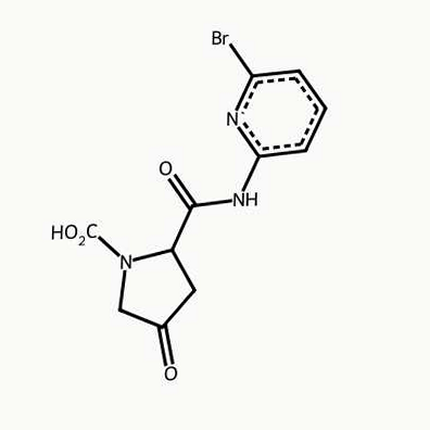 O=C1CC(C(=O)Nc2cccc(Br)n2)N(C(=O)O)C1